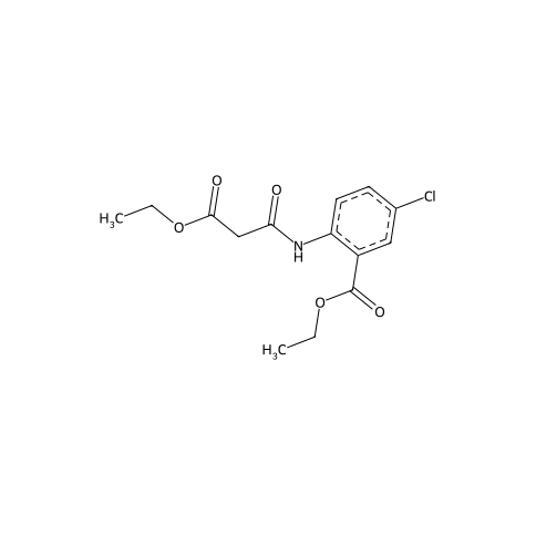 CCOC(=O)CC(=O)Nc1ccc(Cl)cc1C(=O)OCC